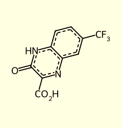 O=C(O)c1nc2cc(C(F)(F)F)ccc2[nH]c1=O